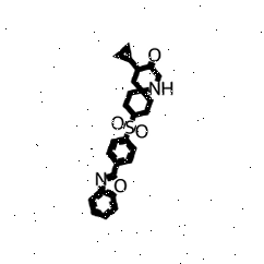 O=C1CNC2(CCC(S(=O)(=O)c3ccc(-c4nc5ccccc5o4)cc3)CC2)CC1C1CC1